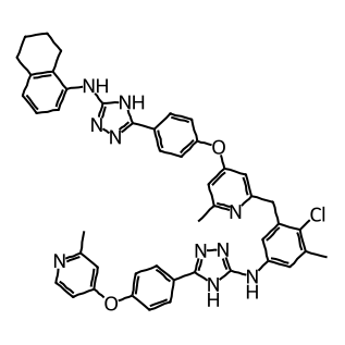 Cc1cc(Oc2ccc(-c3nnc(Nc4cc(C)c(Cl)c(Cc5cc(Oc6ccc(-c7nnc(Nc8cccc9c8CCCC9)[nH]7)cc6)cc(C)n5)c4)[nH]3)cc2)ccn1